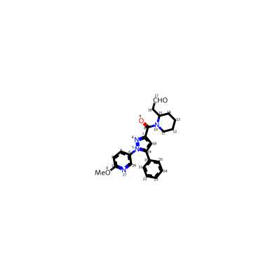 COc1ccc(-n2nc(C(=O)N3CCCCC3CC=O)cc2-c2ccccc2)cn1